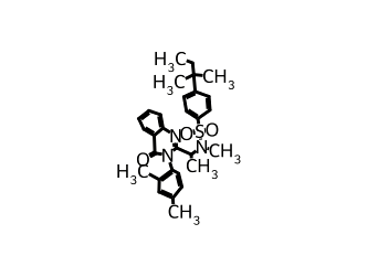 CCC(C)(C)c1ccc(S(=O)(=O)N(C)C(C)c2nc3ccccc3c(=O)n2-c2ccc(C)cc2C)cc1